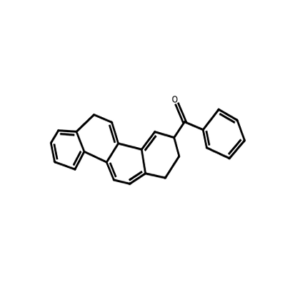 O=C(c1ccccc1)C1C=c2c(ccc3c2=CCc2ccccc2-3)CC1